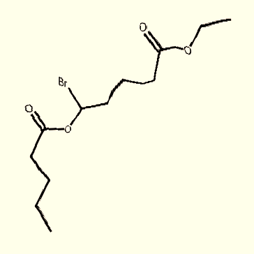 CCCCC(=O)OC(Br)CCCC(=O)OCC